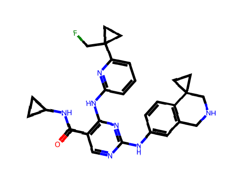 O=C(NC1CC1)c1cnc(Nc2ccc3c(c2)CNCC32CC2)nc1Nc1cccc(C2(CF)CC2)n1